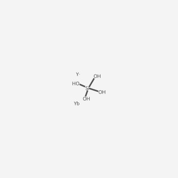 O[Si](O)(O)O.[Y].[Yb]